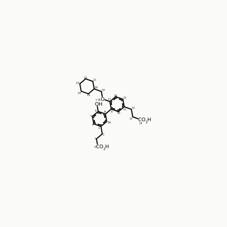 O=C(O)CCc1ccc(O)c(-c2cc(CCC(=O)O)ccc2OCC2CCCCC2)c1